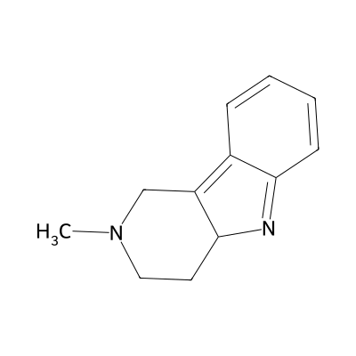 CN1CCC2N=c3ccccc3=C2C1